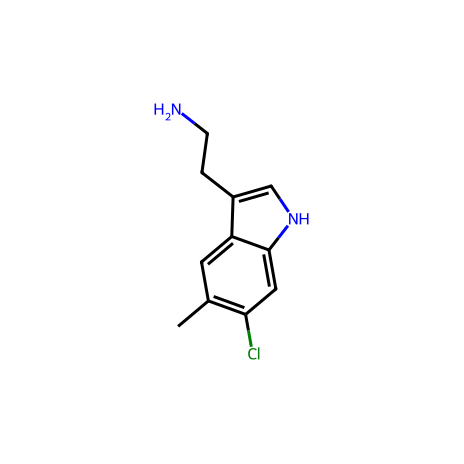 Cc1cc2c(CCN)c[nH]c2cc1Cl